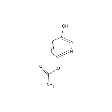 NC(=O)Oc1ccc(O)cn1